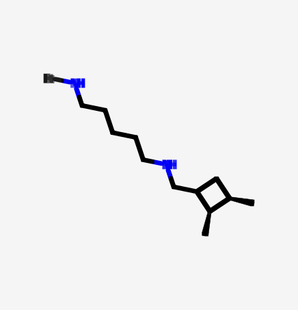 CCNCCCCCNCC1C[C@@H](C)[C@H]1C